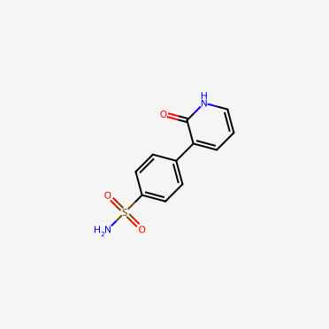 NS(=O)(=O)c1ccc(-c2ccc[nH]c2=O)cc1